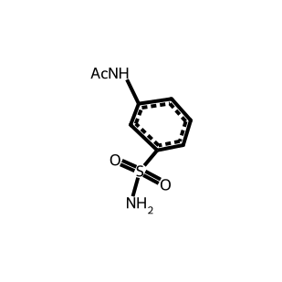 CC(=O)Nc1cccc(S(N)(=O)=O)c1